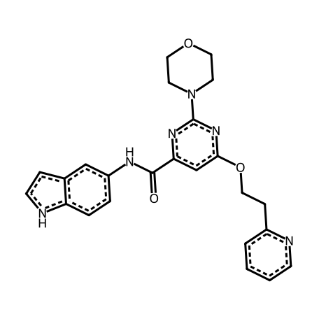 O=C(Nc1ccc2[nH]ccc2c1)c1cc(OCCc2ccccn2)nc(N2CCOCC2)n1